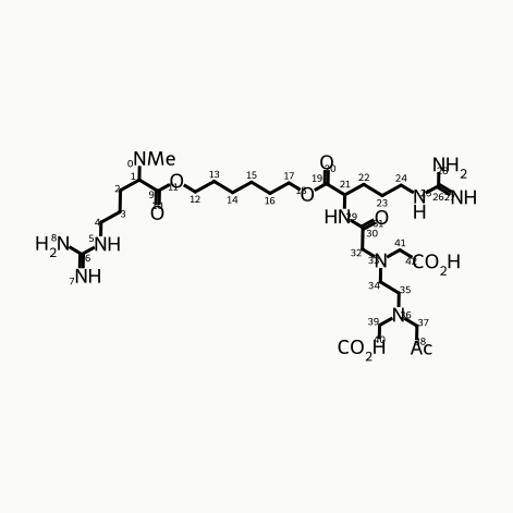 CNC(CCCNC(=N)N)C(=O)OCCCCCCOC(=O)C(CCCNC(=N)N)NC(=O)CN(CCN(CC(C)=O)CC(=O)O)CC(=O)O